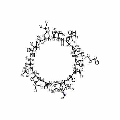 C/C=C/C[C@@H](C)C[C@H]1C(=O)N[C@@H](CC)C(=O)N(C)[C@H](COCCC=O)C(=O)N(C)[C@@H](CC(C)(C)O)C(=O)N[C@H](C(C)C)C(=O)N(C)[C@H](CCC(C)C)C(=O)N[C@H](C)C(=O)N[C@@H](C)C(=O)N(C)[C@@H](CC(C)C)C(=O)N(C)[C@@H](CC(C)C)C(=O)N(C)[C@@H](C(C)C)C(=O)N1C